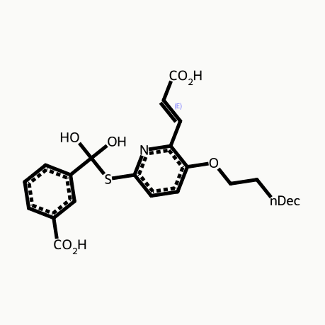 CCCCCCCCCCCCOc1ccc(SC(O)(O)c2cccc(C(=O)O)c2)nc1/C=C/C(=O)O